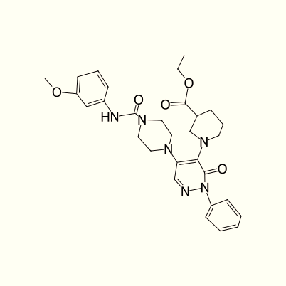 CCOC(=O)C1CCCN(c2c(N3CCN(C(=O)Nc4cccc(OC)c4)CC3)cnn(-c3ccccc3)c2=O)C1